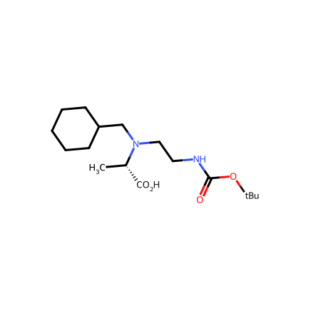 C[C@@H](C(=O)O)N(CCNC(=O)OC(C)(C)C)CC1CCCCC1